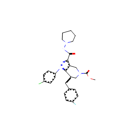 COC(=O)N1CC(=Cc2ccc(F)cc2)c2c(c(C(=O)NN3CCCCC3)nn2-c2ccc(Cl)cc2)C1